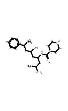 CC(C)CC(CC(O)CC(N)c1ccccc1)NC(=O)N1CCOCC1